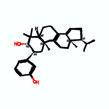 CC(C)[C@H]1CC=C2C3=C(CC[C@@]21C)[C@@]1(C)C[C@H](c2cccc(O)c2)[C@H](O)C(C)(C)[C@@H]1CC3